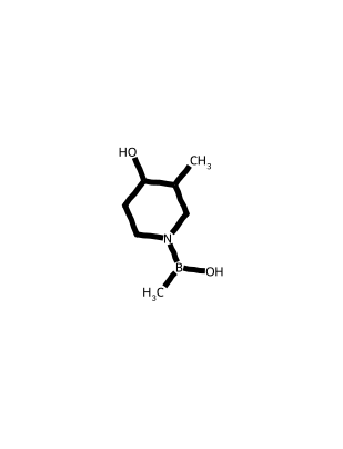 CB(O)N1CCC(O)C(C)C1